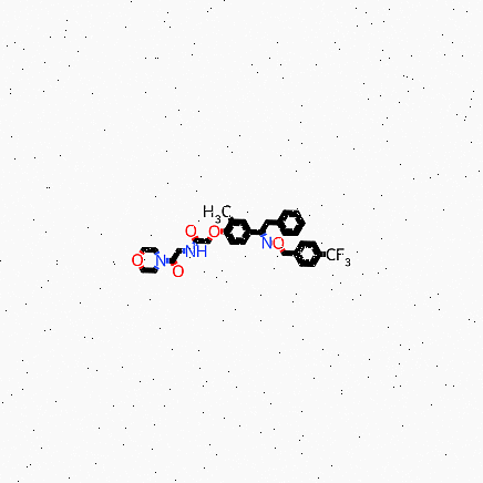 Cc1cc(/C(Cc2ccccc2)=N/OCc2ccc(C(F)(F)F)cc2)ccc1OCC(=O)NCC(=O)N1CCOCC1